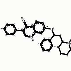 CN1CCCCC1CC(Oc1ccc2c(=O)c(-c3ccccc3)coc2c1)c1ccccc1